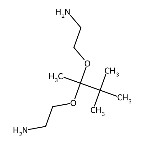 CC(C)(C)C(C)(OCCN)OCCN